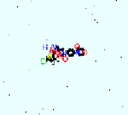 COC(=O)N(CC(CN)OC(=O)c1ccc(Cl)s1)c1ccc(N2CCOCC2=O)cc1